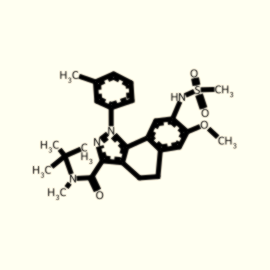 COc1cc2c(cc1NS(C)(=O)=O)-c1c(c(C(=O)N(C)C(C)(C)C)nn1-c1cccc(C)c1)CC2